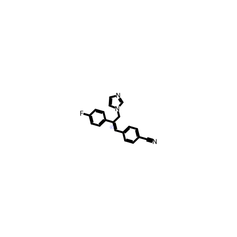 N#Cc1ccc(/C=C(\Cn2ccnc2)c2ccc(F)cc2)cc1